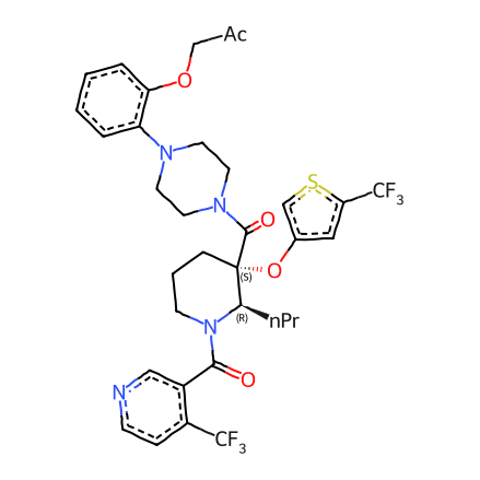 CCC[C@H]1N(C(=O)c2cnccc2C(F)(F)F)CCC[C@@]1(Oc1csc(C(F)(F)F)c1)C(=O)N1CCN(c2ccccc2OCC(C)=O)CC1